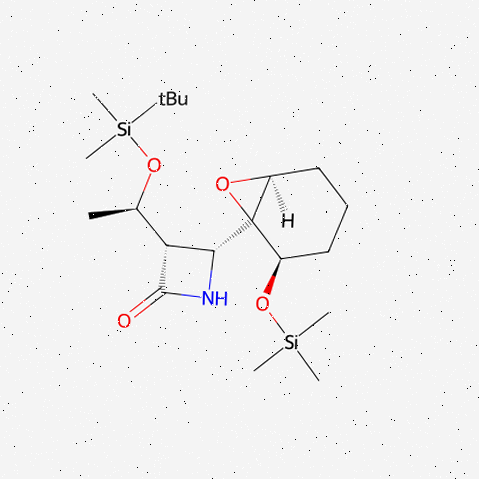 C[C@@H](O[Si](C)(C)C(C)(C)C)[C@H]1C(=O)N[C@H]1C12O[C@H]1CCC[C@H]2O[Si](C)(C)C